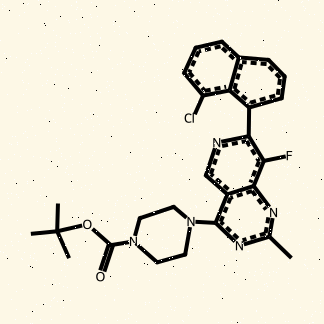 Cc1nc(N2CCN(C(=O)OC(C)(C)C)CC2)c2cnc(-c3cccc4cccc(Cl)c34)c(F)c2n1